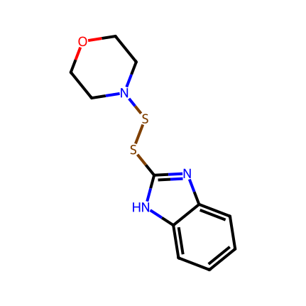 c1ccc2[nH]c(SSN3CCOCC3)nc2c1